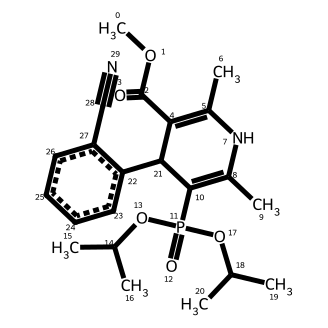 COC(=O)C1=C(C)NC(C)=C(P(=O)(OC(C)C)OC(C)C)C1c1ccccc1C#N